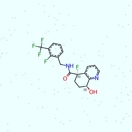 O=C(NCc1cccc(C(F)(F)F)c1F)[C@]1(F)CC[C@H](O)c2ncccc21